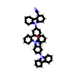 N#Cc1ccc(-n2c3ccccc3c3c(C#N)cccc32)cc1-c1ccccc1-n1c2ccccc2c2cc(-n3c4ccccc4c4ccccc43)ccc21